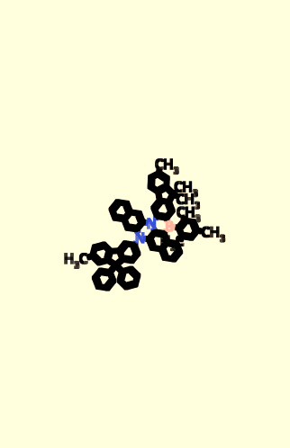 Cc1cc(C)c(B2c3cc4c(cc3N3c5cc6ccccc6cc5N(c5ccc6c(c5)-c5ccc(C)cc5C6(c5ccccc5)c5ccccc5)c5cc6ccccc6c2c53)-c2ccc(C)cc2C4(C)C)c(C)c1